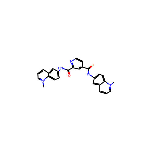 C[n+]1cccc2cc(NC(=O)c3ccnc(C(=O)Nc4ccc5c(ccc[n+]5C)c4)c3)ccc21